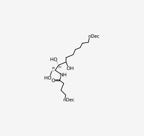 CCCCCCCCCCCCCCCCC(O)[C@@H](O)[C@@H](CO)NC(=O)CCCCCCCCCCCCC